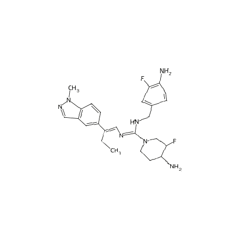 CC/C(=C\N=C(/NCc1ccc(N)c(F)c1)N1CCC(N)C(F)C1)c1ccc2c(cnn2C)c1